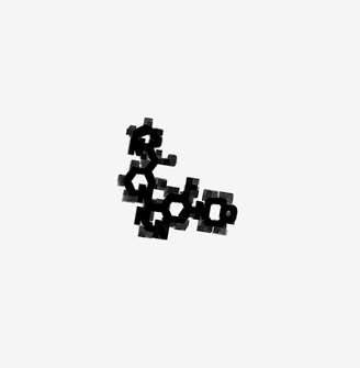 C[C@H](c1nccs1)C1CCCN(c2ncnc3cc(N4CCOCC4)c(F)cc23)C1